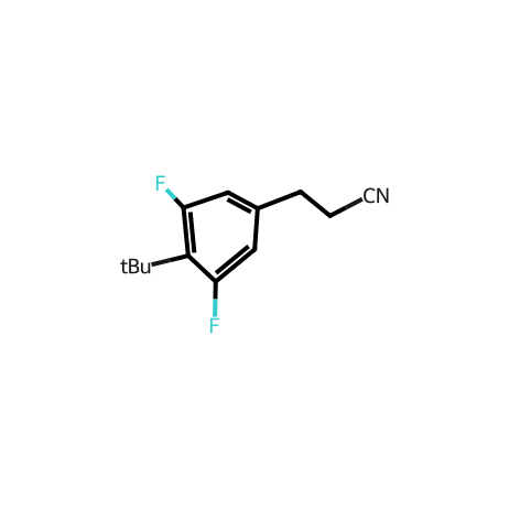 CC(C)(C)c1c(F)cc(CCC#N)cc1F